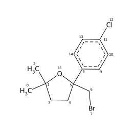 CC1(C)CCC(CBr)(c2ccc(Cl)cc2)O1